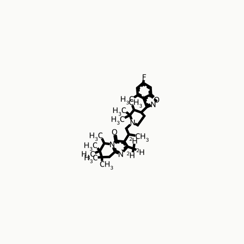 [2H]C([2H])([2H])c1nc2n(c(=O)c1C(C)CN1CCC(c3noc4cc(F)cc(C)c34)C(C)C1(C)C)C(C)C(C)(C)C(C)(C)C2